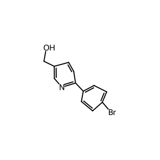 OCc1ccc(-c2ccc(Br)cc2)nc1